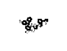 COc1ccc(C(OC[C@H]2O[C@@H](n3ccc4c(-c5cccs5)cccc43)C[C@@H]2O)(c2ccccc2)c2ccc(OC)cc2)cc1